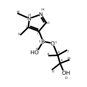 Cc1c(B(O)OC(C)(C)C(C)(C)O)cnn1C